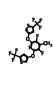 Cc1c(F)c(Oc2csc(C(F)(F)F)c2)nc(Oc2csc(C(F)(F)F)c2)c1F